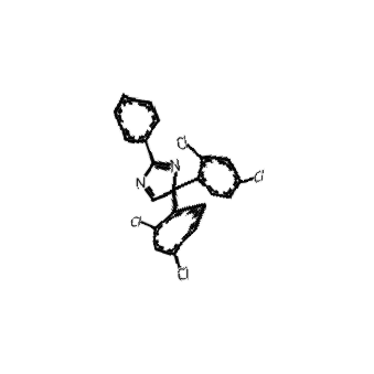 Clc1ccc(C2(c3ccc(Cl)cc3Cl)C=NC(c3ccccc3)=N2)c(Cl)c1